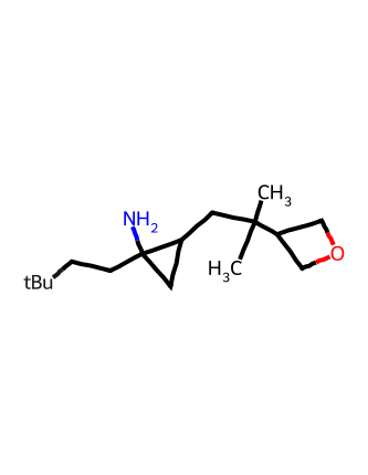 CC(C)(C)CCC1(N)CC1CC(C)(C)C1COC1